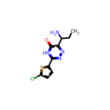 CCC(N)c1nnc(-c2ccc(Cl)s2)[nH]c1=O